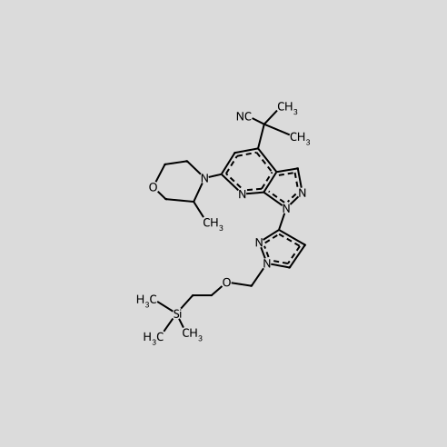 CC1COCCN1c1cc(C(C)(C)C#N)c2cnn(-c3ccn(COCC[Si](C)(C)C)n3)c2n1